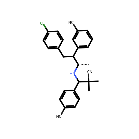 C[C@H](NC(c1ccc(C#N)cc1)C(C)(C)C#N)[C@@H](Cc1ccc(Cl)cc1)c1cccc(C#N)c1